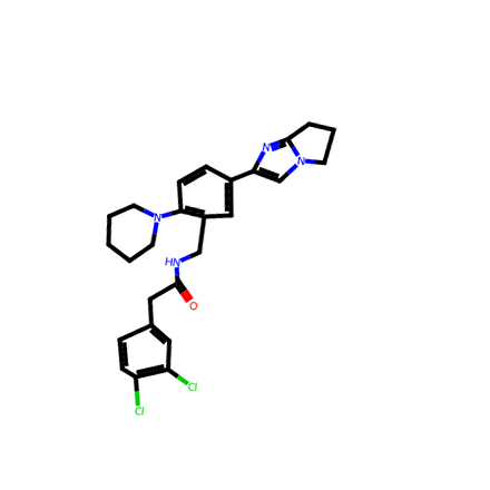 O=C(Cc1ccc(Cl)c(Cl)c1)NCc1cc(-c2cn3c(n2)CCC3)ccc1N1CCCCC1